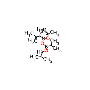 C=C(C)C(C)B(OB(OBC(C)C)C(C)C)OC(C)C